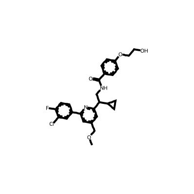 COCc1cc(-c2ccc(F)c(Cl)c2)nc(C(CNC(=O)c2ccc(OCCO)cc2)C2CC2)c1